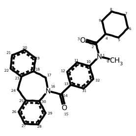 CN(C(=O)C1CCCCC1)c1ccc(C(=O)N2Cc3ccccc3Cc3ccccc32)cc1